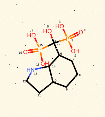 O=P(O)(O)C(O)(C1CCCC2CCNC21)P(=O)(O)O